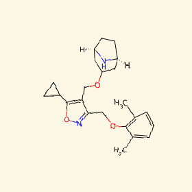 Cc1cccc(C)c1OCc1noc(C2CC2)c1COC1C[C@H]2CC[C@@H](C1)N2